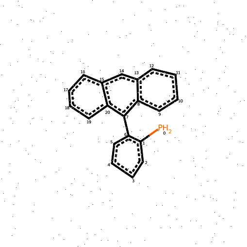 Pc1ccccc1-c1c2ccccc2cc2ccccc12